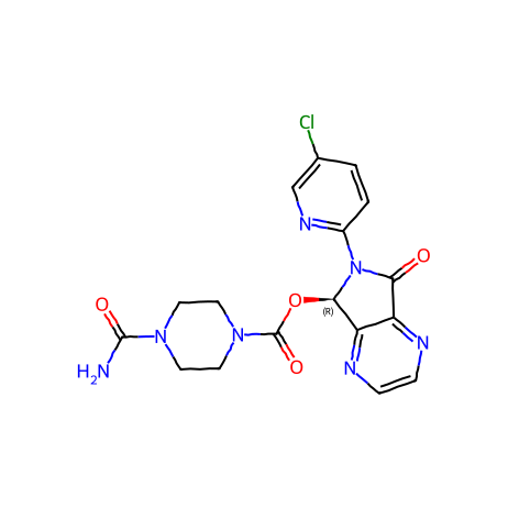 NC(=O)N1CCN(C(=O)O[C@@H]2c3nccnc3C(=O)N2c2ccc(Cl)cn2)CC1